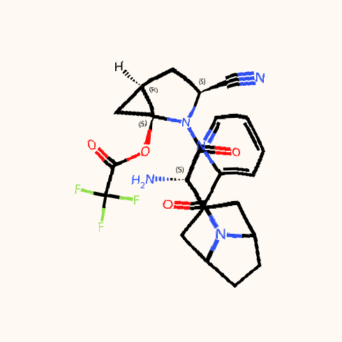 N#C[C@@H]1C[C@@H]2C[C@@]2(OC(=O)C(F)(F)F)N1C(=O)[C@@H](N)C1CC2CCC(C1)N2C(=O)c1ccccn1